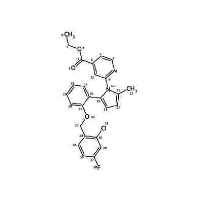 CCOC(=O)c1cccc(-n2c(C)ccc2-c2ccccc2OCc2ccc(F)cc2Cl)c1